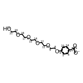 O=[N+]([O-])c1ccc(OCCOCCOCCOCCOCCO)cc1